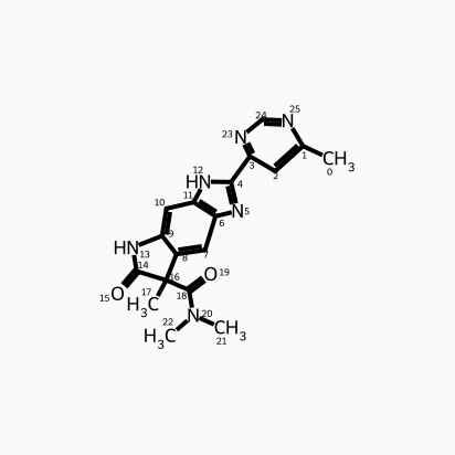 Cc1cc(-c2nc3cc4c(cc3[nH]2)NC(=O)C4(C)C(=O)N(C)C)ncn1